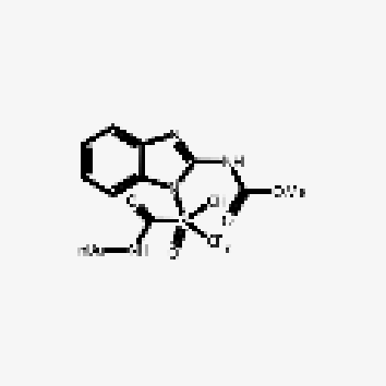 CCCCNC(=O)S(C)(=O)(n1c(NC(=O)OC)nc2ccccc21)C(F)(F)F